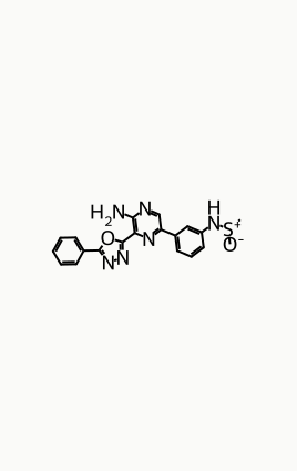 C[S+]([O-])Nc1cccc(-c2cnc(N)c(-c3nnc(-c4ccccc4)o3)n2)c1